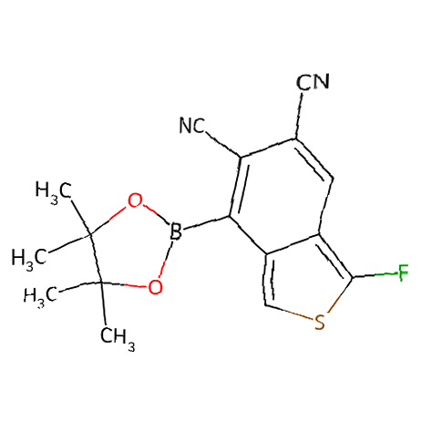 CC1(C)OB(c2c(C#N)c(C#N)cc3c(F)scc23)OC1(C)C